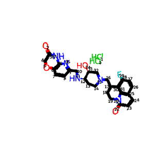 Cl.Cl.O=C1COc2ccc(CN[C@H]3CCN(CC4CCn5c(=O)ccc6ccc(F)c4c65)C[C@H]3O)nc2N1